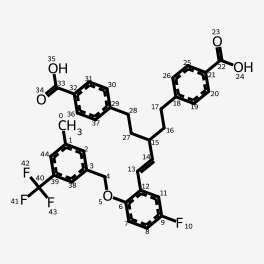 Cc1cc(COc2ccc(F)cc2/C=C/C(CCc2ccc(C(=O)O)cc2)CCc2ccc(C(=O)O)cc2)cc(C(F)(F)F)c1